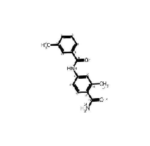 Cc1cccc(C(=O)Nc2ccc(C(N)=O)c(C)c2)c1